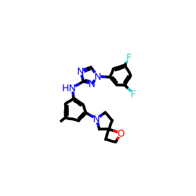 Cc1cc(Nc2ncn(-c3cc(F)cc(F)c3)n2)cc(N2CCC3(CCO3)C2)c1